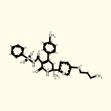 CCCCOc1ccc([C@]2(C)CC(c3ccc(C)cc3)=C(C(=O)NS(=O)(=O)c3ccccc3)C(=O)N2)cc1